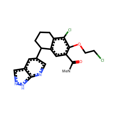 CNC(=O)c1cc2c(c(Cl)c1OCCCl)CCCC2c1cnc2[nH]ncc2c1